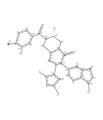 Cc1cc(C)n(-c2nc3c(c(=O)n2-c2ccc4c(ncn4C)n2)C[C@@H](C)N(C(=O)c2ccc(Br)c(C)c2)C3)n1